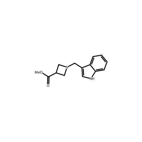 COC(=O)C1CN(Cc2c[nH]c3ccccc23)C1